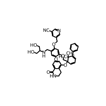 CC1(C)C(c2ccccc2)=CC=CC1(COc1cc(OCc2cncc(C#N)c2)c(CNC(CO)CO)cc1Cl)Oc1cccc2c1CCNC2=O